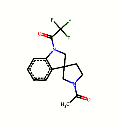 CC(=O)N1CCC2(C1)CN(C(=O)C(F)(F)F)c1ccccc12